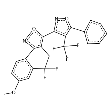 COc1ccc2c(c1)C(F)(F)Cc1c-2noc1-c1noc(-c2ccccc2)c1C(F)(F)F